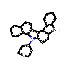 c1ccc(-n2c3ccc4[nH]c5ccccc5c4c3c3ccc4ccccc4c32)cc1